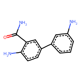 NC(=O)c1cc(-c2cccc(N)c2)ccc1N